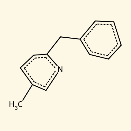 Cc1ccc(Cc2ccccc2)nc1